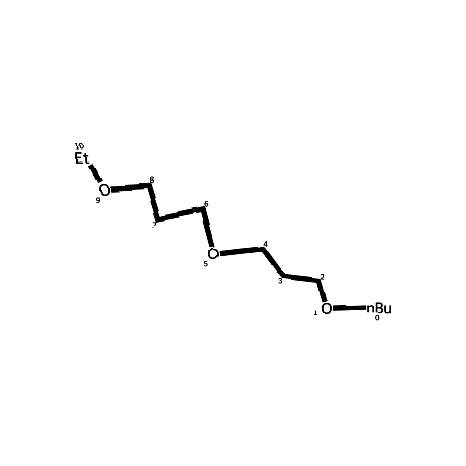 CCCCOCCCOCCCOCC